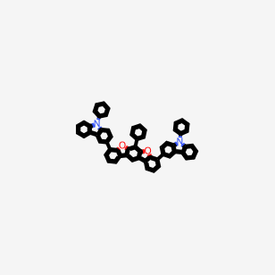 c1ccc(-c2c3oc4c(-c5ccc6c(c5)c5ccccc5n6-c5ccccc5)cccc4c3cc3c2oc2c(-c4ccc5c(c4)c4ccccc4n5-c4ccccc4)cccc23)cc1